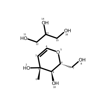 C[C@@]1(O)C=CO[C@H](CO)[C@H]1O.OCC(O)CO